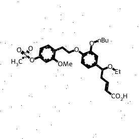 CCCCOc1cc(C(CC=CC(=O)O)OCC)ccc1OCCc1ccc(OS(C)(=O)=O)cc1OC